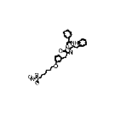 O=NS(=O)(=O)CCCCCCOc1cccc(Cc2nc3c(Cc4ccccc4)[nH]c(-c4ccccc4)cn-3c2=O)c1